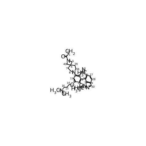 C=CC(=O)N1CC2(CCN(c3cc(OCCCN(C)C)c(OC)c(-c4c(C)ccc5cnn(C)c45)c3C#N)CC2)C1